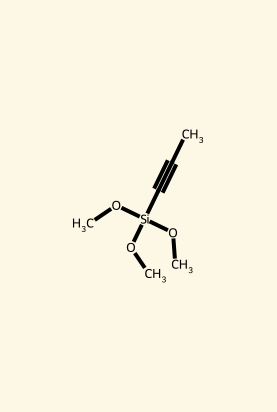 CC#C[Si](OC)(OC)OC